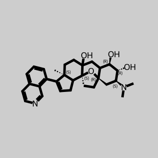 CN(C)[C@H]1C[C@@]23CC[C@]4(O2)C2CC=C(c5cccc6ccncc56)[C@@]2(C)CCC4(O)CC3[C@@H](O)[C@@H]1O